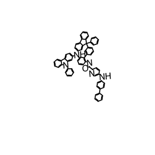 c1ccc(-c2ccc(Nc3ccc(-c4nc5c(-c6cccc(C7(c8ccccc8)c8ccccc8-c8ccc(Nc9ccc%10c%11ccccc%11n(-c%11ccccc%11)c%10c9)cc87)c6)cccc5o4)nc3)cc2)cc1